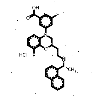 C[C@@H](NCCC1CN(c2cc(F)cc(C(=O)O)c2)c2cccc(F)c2O1)c1cccc2ccccc12.Cl